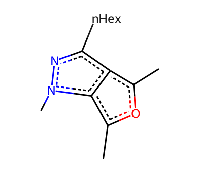 CCCCCCc1nn(C)c2c(C)oc(C)c12